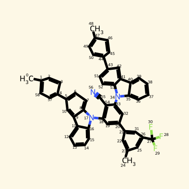 Cc1ccc(-c2ccc3c(c2)c2ccccc2n3-c2cc(-c3cc(C)cc(C(F)(F)F)c3)cc(-n3c4ccccc4c4cc(-c5ccc(C)cc5)ccc43)c2C#N)cc1